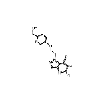 O=c1[nH]c(Cl)nc2cnn(CCOc3ccc(CO)nc3)c12